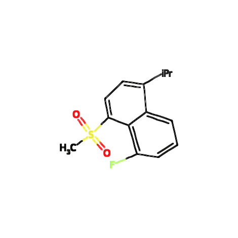 CC(C)c1ccc(S(C)(=O)=O)c2c(F)cccc12